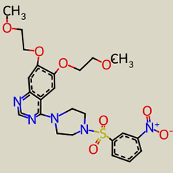 COCCOc1cc2ncnc(N3CCN(S(=O)(=O)c4cccc([N+](=O)[O-])c4)CC3)c2cc1OCCOC